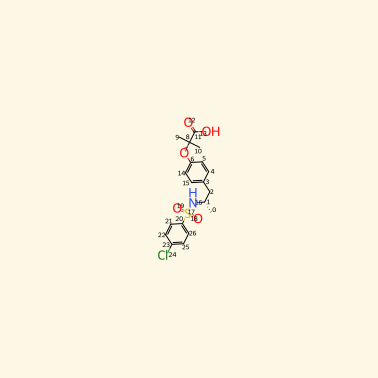 C[C@@H](Cc1ccc(OC(C)(C)C(=O)O)cc1)NS(=O)(=O)c1ccc(Cl)cc1